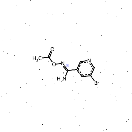 CC(=O)O/N=C(\N)c1cncc(Br)c1